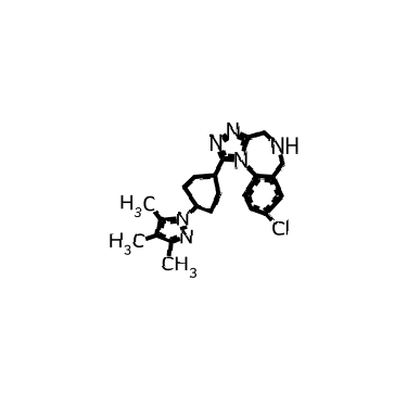 Cc1nn(C2CCC(c3nnc4n3-c3ccc(Cl)cc3CNC4)CC2)c(C)c1C